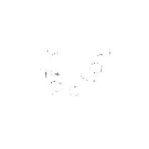 [N-]=[N+]=Nc1ccc(NC(=S)Nc2ccc(C[C@H](NC(=O)N[C@@H](CCC(=O)O)C(=O)O)C(=O)O)cc2)cc1